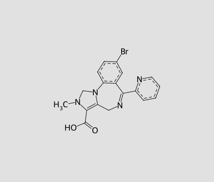 CN1CN2C(=C1C(=O)O)CN=C(c1ccccn1)c1cc(Br)ccc12